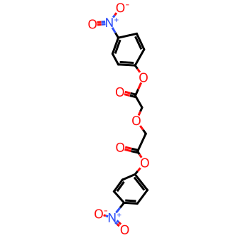 O=C(COCC(=O)Oc1ccc([N+](=O)[O-])cc1)Oc1ccc([N+](=O)[O-])cc1